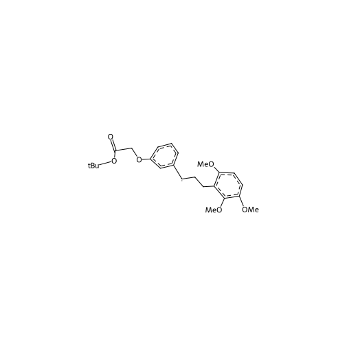 COc1ccc(OC)c(OC)c1CC[CH]c1cccc(OCC(=O)OC(C)(C)C)c1